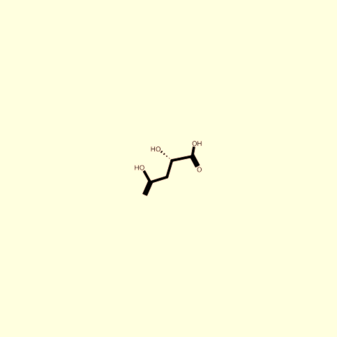 C=C(O)C[C@H](O)C(=O)O